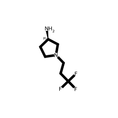 N[C@@H]1CCN(CCC(F)(F)F)C1